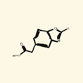 COC(=O)Cc1ccc2oc(Cl)nc2c1